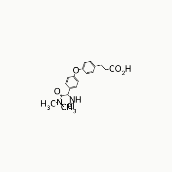 CN(C)C(=O)C(NCl)c1ccc(Oc2ccc(CCC(=O)O)cc2)cc1